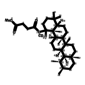 COC(=O)CCC(=O)OC1(C(=O)O)CCC(C)(C)[C@@H]2CC[C@]3(C)[C@H](CC[C@@H]4[C@@H]5[C@@H](C)[C@H](C)CC[C@]5(C)CC[C@]43C)[C@]21C